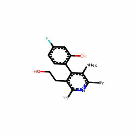 CCCCCCc1c(C(C)C)nc(C(C)C)c(CCO)c1-c1ccc(F)cc1O